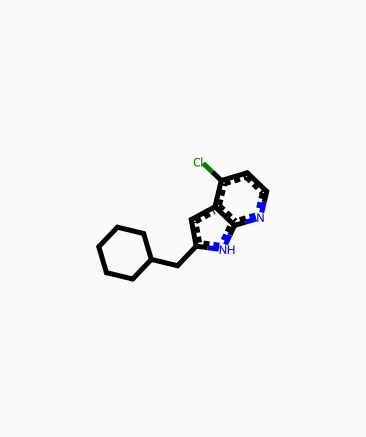 Clc1ccnc2[nH]c(CC3CCCCC3)cc12